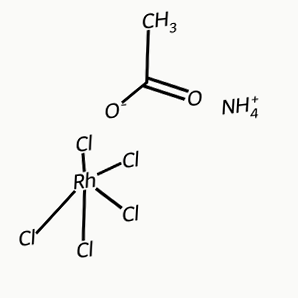 CC(=O)[O-].[Cl][Rh]([Cl])([Cl])([Cl])[Cl].[NH4+]